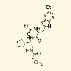 C=CC(=O)NC[C@@H](NC(=O)[C@H](Cc1nc2ccc(CC)cc2s1)NC(=O)CC)C1CCCC1